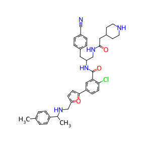 Cc1ccc(C(C)NCc2ccc(-c3ccc(Cl)c(C(=O)NC(CNC(=O)CC4CCNCC4)Cc4ccc(C#N)cc4)c3)o2)cc1